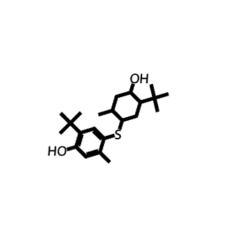 Cc1cc(O)c(C(C)(C)C)cc1SC1CC(C(C)(C)C)C(O)CC1C